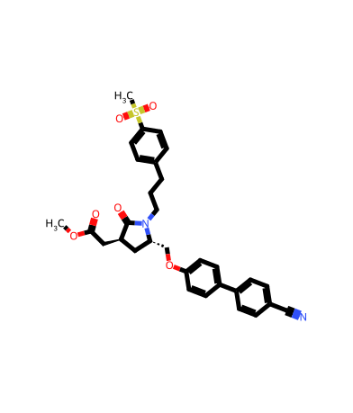 COC(=O)C[C@@H]1C[C@@H](COc2ccc(-c3ccc(C#N)cc3)cc2)N(CCCc2ccc(S(C)(=O)=O)cc2)C1=O